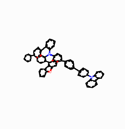 c1ccc(-c2ccc(-c3ccccc3N(c3ccc(-c4ccc(-c5ccc(-n6c7ccccc7c7ccccc76)cc5)cc4)cc3)c3ccccc3-c3cccc4oc5ccccc5c34)cc2)cc1